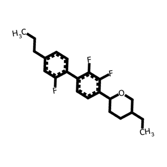 CCCc1ccc(-c2ccc(C3CCC(CC)CO3)c(F)c2F)c(F)c1